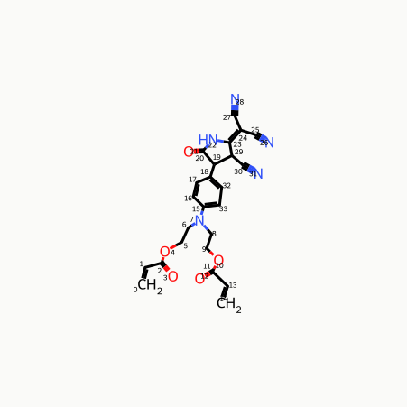 C=CC(=O)OCCN(CCOC(=O)C=C)c1ccc(C2C(=O)NC(=C(C#N)C#N)C2C#N)cc1